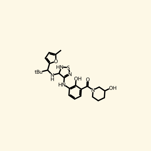 Cc1ccc(C(NC2NSN=C2Nc2cccc(C(=O)N3CCCC(O)C3)c2O)C(C)(C)C)o1